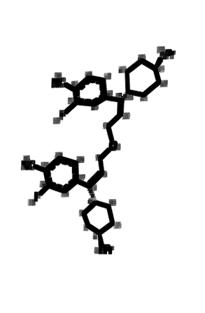 CCC[C@H]1CC[C@H](C(=CCOCC=C(c2ccc(C#N)c(F)c2)[C@H]2CC[C@H](CCC)CC2)c2ccc(C#N)c(F)c2)CC1